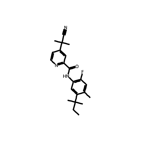 CCC(C)(C)c1cc(NC(=O)c2cc(C(C)(C)C#N)ccn2)c(F)cc1C